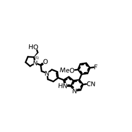 COc1ccc(F)cc1-c1c(C#N)cnc2[nH]c(C3=CCN(CC(=O)N4CCC[C@H]4CO)CC3)cc12